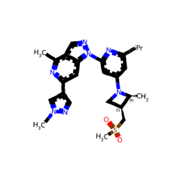 Cc1nc(-c2cnn(C)c2)cc2c1cnn2-c1cc(N2C[C@H](CS(C)(=O)=O)[C@H]2C)cc(C(C)C)n1